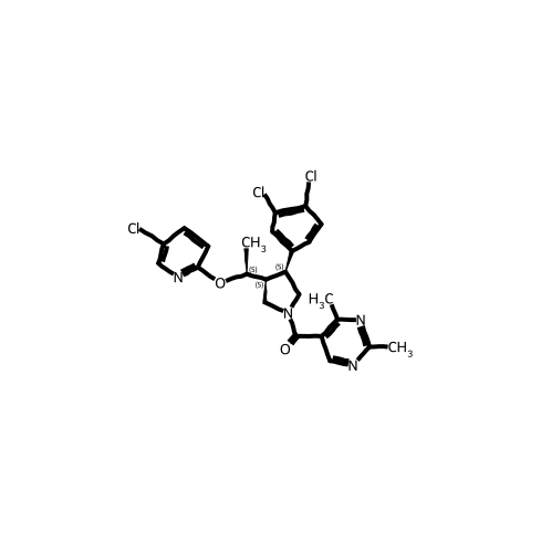 Cc1ncc(C(=O)N2C[C@@H]([C@H](C)Oc3ccc(Cl)cn3)[C@@H](c3ccc(Cl)c(Cl)c3)C2)c(C)n1